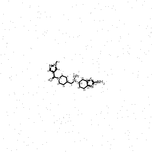 CCCN(CC1CCN(C(=O)c2cnn(C)c2)CC1)[C@H]1CCc2nc(N)sc2C1